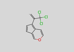 [CH]=C(c1ccc2coccc1-2)C(Cl)(Cl)Cl